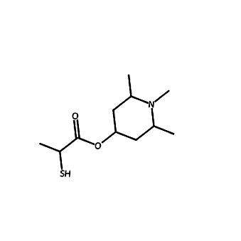 CC(S)C(=O)OC1CC(C)N(C)C(C)C1